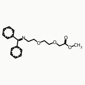 COC(=O)COCCOCCN=C(c1ccccc1)c1ccccc1